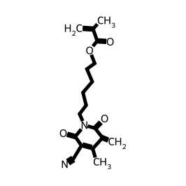 C=C(C)C(=O)OCCCCCCN1C(=O)C(=C)C(C)=C(C#N)C1=O